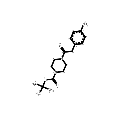 CC(C)(C)OC(=O)N1CCN(C(=O)Cc2ccc(N)cc2)CC1